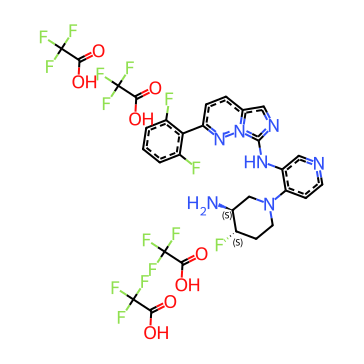 N[C@H]1CN(c2ccncc2Nc2ncc3ccc(-c4c(F)cccc4F)nn23)CC[C@@H]1F.O=C(O)C(F)(F)F.O=C(O)C(F)(F)F.O=C(O)C(F)(F)F.O=C(O)C(F)(F)F